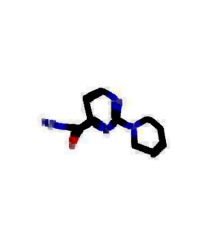 NC(=O)c1ccnc(N2CCCCC2)n1